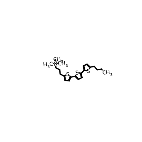 CCCCc1ccc(-c2ccc(-c3ccc(CCC[N+](C)(C)C)s3)s2)s1